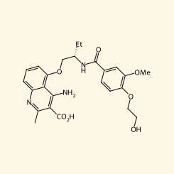 CC[C@@H](COc1cccc2nc(C)c(C(=O)O)c(N)c12)NC(=O)c1ccc(OCCO)c(OC)c1